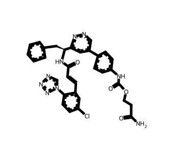 NC(=O)CCOC(=O)Nc1ccc(-c2cnnc([C@H](Cc3ccccc3)NC(=O)C=Cc3cc(Cl)ccc3-n3cnnn3)c2)cc1